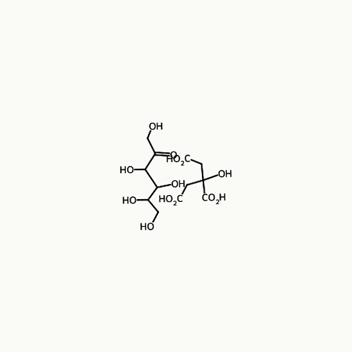 O=C(CO)C(O)C(O)C(O)CO.O=C(O)CC(O)(CC(=O)O)C(=O)O